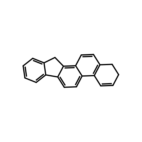 C1=Cc2c(ccc3c4c(ccc23)-c2ccccc2C4)CC1